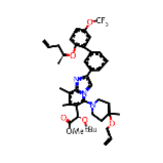 C=CCOC1(C)CCN(c2c([C@H](OC(C)(C)C)C(=O)OC)c(C)c(C)c3nc(-c4cccc(-c5cc(OC(F)(F)F)ccc5O[C@@H](C)CC=C)c4)cn23)CC1